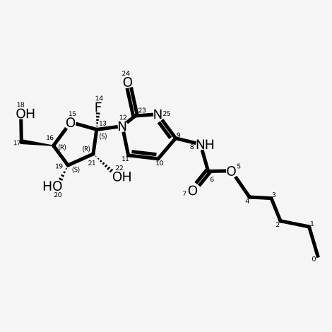 CCCCCOC(=O)Nc1ccn([C@]2(F)O[C@H](CO)[C@@H](O)[C@H]2O)c(=O)n1